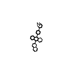 C1=CC2=CC=C(c3c4c(c(-c5ccc(-c6cccnc6)cc5)c5ccccc35)CCC=C4)CC2C=C1